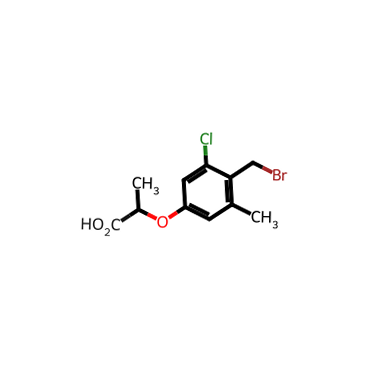 Cc1cc(OC(C)C(=O)O)cc(Cl)c1CBr